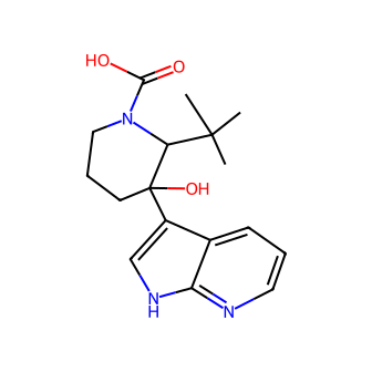 CC(C)(C)C1N(C(=O)O)CCCC1(O)c1c[nH]c2ncccc12